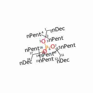 CCCCCCCCCCCC(CCCCC)(CCCCC)OP(OC(CCCCC)(CCCCC)CCCCCCCCCCC)OC(CCCCC)(CCCCC)CCCCCCCCCCC